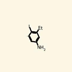 CCc1cc(N)c[c]c1I